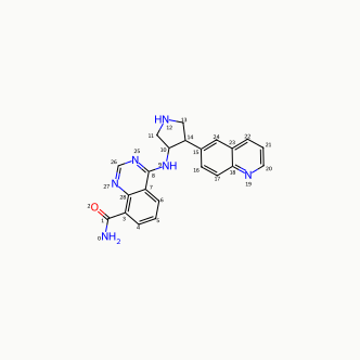 NC(=O)c1cccc2c(NC3CNCC3c3ccc4ncccc4c3)ncnc12